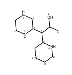 CC(O)C(C1CNCCN1)C1CNCCN1